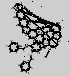 CN1CC2C3CC4=c5c6c7c8c(c9c%10c(cc%11cc%12cc%13cc%14cc(c5c5c%14c%14c%13c%12c%12c%11c%10c8c%12c%14c75)C4)CC92C1c1ccc(OCc2ccccc2)c(OCc2ccccc2)c1)C63